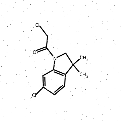 CC1(C)CN(C(=O)CCl)c2cc(Cl)ccc21